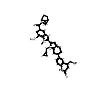 COc1cc(C(=O)N2CC3CCC2[C@@H]3C)cc2nc(-c3cc4ccc(-c5ccc6[nH]c(=O)cc(CO)c6c5)cc4n3CC3CC3)n(C)c12